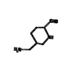 NCC1CCC(C=O)NC1